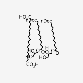 CCCCCCCCCCCCCCCCCCCCCC(=O)OCC(O)CO.CCCCCCCCCCCCCCCCCCCCCC(=O)OCC(O)CO.O=C(O)CCCCCCCCCCCCCCCCCCC(=O)O